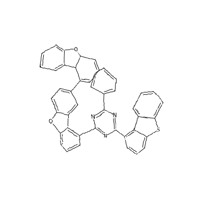 C1=CC2Oc3ccccc3C2C(c2ccc3oc4cccc(-c5nc(-c6ccccc6)nc(-c6cccc7sc8ccccc8c67)n5)c4c3c2)=C1